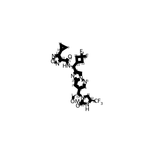 COC[C@H](c1cnn2cc([C@H](NC(=O)c3nonc3C3CC3)C3CC(F)(F)C3)nc2c1)N1C[C@@H](C(F)(F)F)NC1=O